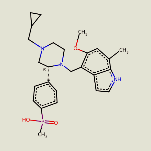 COc1cc(C)c2[nH]ccc2c1CN1CCN(CC2CC2)C[C@H]1c1ccc(P(C)(=O)O)cc1